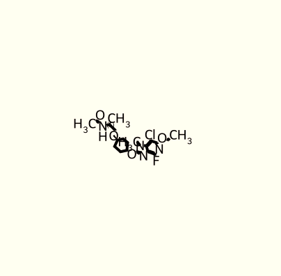 CCOc1nc(F)c2nc(O[C@H]3CC[C@H](OC[C@H](C)NC(C)=O)CC3)n(C)c2c1Cl